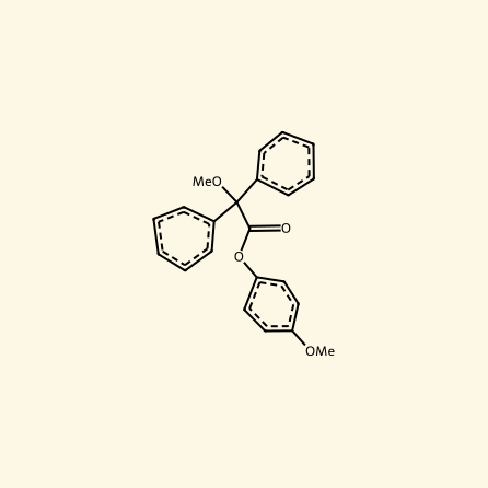 COc1ccc(OC(=O)C(OC)(c2ccccc2)c2ccccc2)cc1